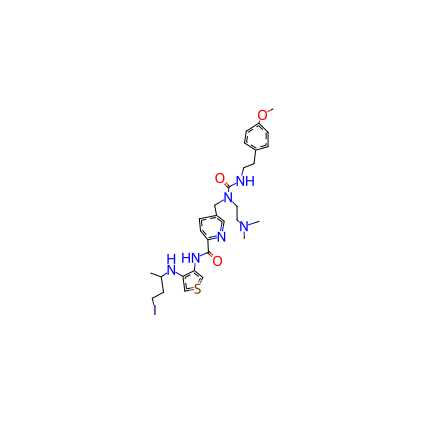 COc1ccc(CCNC(=O)N(CCN(C)C)Cc2ccc(C(=O)Nc3cscc3NC(C)CCI)nc2)cc1